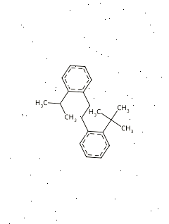 CC(C)c1ccccc1CCc1ccccc1C(C)(C)C